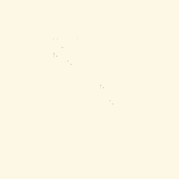 Cc1cn(CCCCN2CCN(CCC3CCCCC3)CC2)c(=O)[nH]c1=O